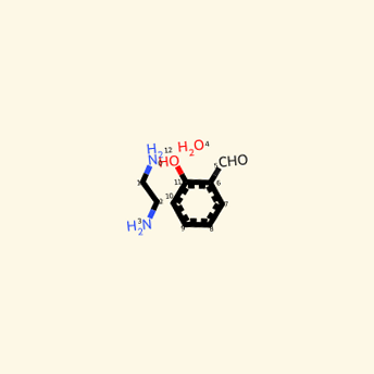 NCCN.O.O=Cc1ccccc1O